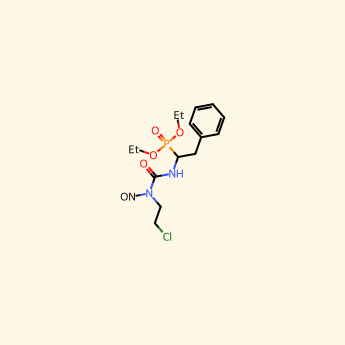 CCOP(=O)(OCC)C(Cc1ccccc1)NC(=O)N(CCCl)N=O